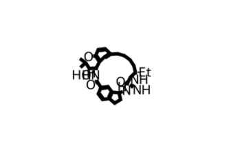 CC[C@]12CCCCc3ccc4c(c3)[C@@H](NC(=O)c3ccc5c(c3)[C@@H](CC5)N(C(=N)N1)C(=O)C2)[C@H](O)C(C)(C)O4